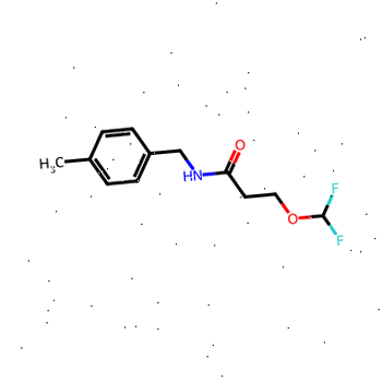 Cc1ccc(CNC(=O)[CH]COC(F)F)cc1